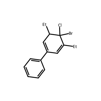 CCC1=CC(c2ccccc2)=CC(CC)C1(Cl)Br